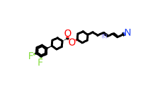 N#CC=C/C=C/CCC1CCC(OC(=O)[C@H]2CC[C@H](c3ccc(F)c(F)c3)CC2)CC1